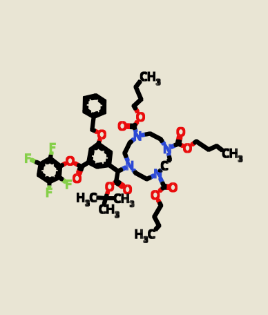 CCCCOC(=O)N1CCN(C(=O)OCCCC)CCN(C(C(=O)OC(C)(C)C)c2cc(OCc3ccccc3)cc(C(=O)Oc3c(F)c(F)cc(F)c3F)c2)CCN(C(=O)OCCCC)CC1